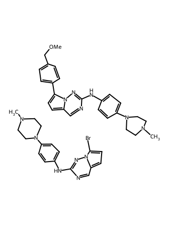 CN1CCN(c2ccc(Nc3ncc4ccc(Br)n4n3)cc2)CC1.COCc1ccc(-c2ccc3cnc(Nc4ccc(N5CCN(C)CC5)cc4)nn23)cc1